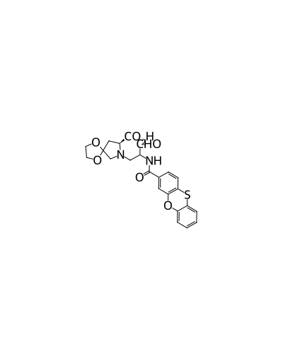 O=CC(CN1CC2(C[C@H]1C(=O)O)OCCO2)NC(=O)c1ccc2c(c1)Oc1ccccc1S2